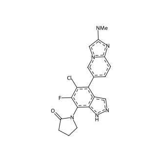 CNc1cn2cc(-c3c(Cl)c(F)c(N4CCCC4=O)c4[nH]ncc34)ccc2n1